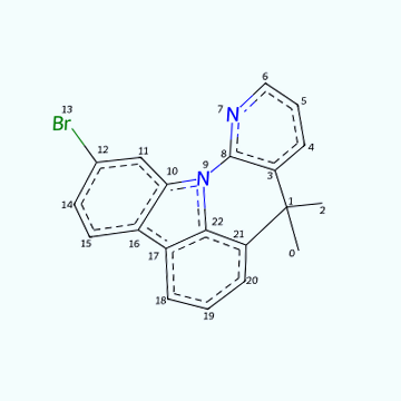 CC1(C)c2cccnc2-n2c3cc(Br)ccc3c3cccc1c32